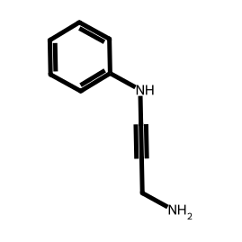 NCC#CNc1ccccc1